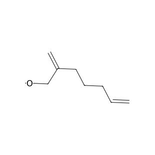 C=CCCCC(=C)C[O]